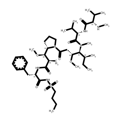 CCCCS(=O)(=O)NC(=O)[C@H](Cc1ccccc1)NC(=O)[C@H](C)[C@@H](OC)[C@@H]1CCCN1C(=O)C[C@@H](OC)[C@H]([C@@H](C)CC)N(C)C(=O)[C@@H](NC(=O)[C@@H](NC)C(C)C)C(C)C